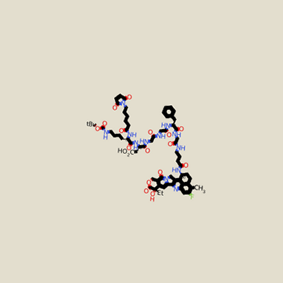 CC[C@@]1(O)C(=O)OCc2c1cc1n(c2=O)Cc2c-1nc1cc(F)c(C)c3c1c2[C@@H](NC(=O)CCCNC(=O)CNC(=O)[C@H](Cc1ccccc1)NC(=O)CNC(=O)CNC(=O)[C@H](CC(=O)O)NC(=O)[C@H](CCCCNC(=O)OC(C)(C)C)NC(=O)CCCCCN1C(=O)C=CC1=O)CC3